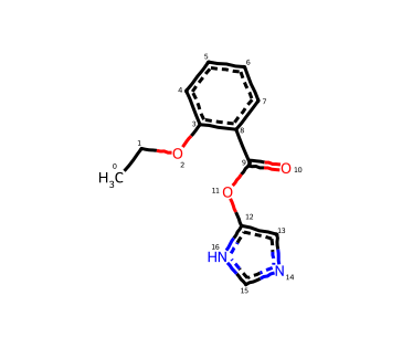 CCOc1ccccc1C(=O)Oc1cnc[nH]1